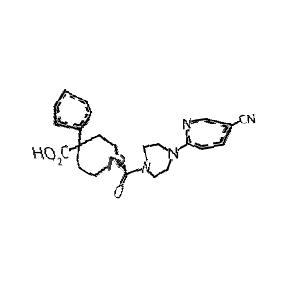 N#Cc1ccc(N2CCN(C(=O)N3CCC(C(=O)O)(c4ccccc4)CC3)CC2)nc1